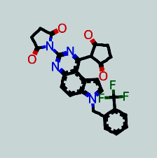 O=C1CCC(=O)C1c1nc(N2C(=O)CCC2=O)nc2ccc3c(ccn3Cc3ccccc3C(F)(F)F)c12